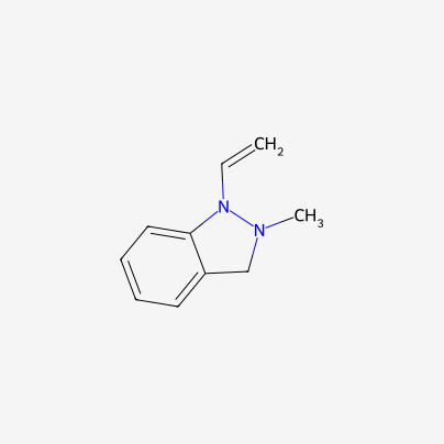 C=CN1c2ccccc2CN1C